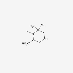 CC1(C)CNCC(C(=O)O)N1I